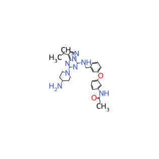 CCC(=O)Nc1cccc(Oc2cccc(CNc3nc(N4CCC(N)CC4)nc4c(C(C)C)cnn34)c2)c1